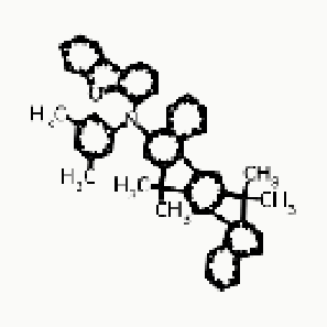 Cc1cc(C)cc(N(c2cc3c(c4ccccc24)-c2cc4c(cc2C3(C)C)-c2c(ccc3ccccc23)C4(C)C)c2cccc3c2oc2ccccc23)c1